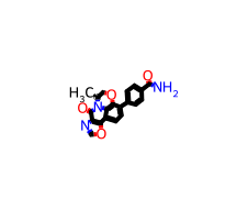 C[C@H]1COc2c(-c3ccc(C(N)=O)cc3)ccc3c4ocnc4c(=O)n1c23